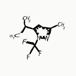 Cc1cc(C(C)C)n(C(F)(F)F)n1